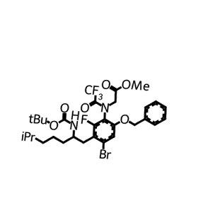 COC(=O)CN(C(=O)C(F)(F)F)c1c(OCc2ccccc2)cc(Br)c(CC(CCCC(C)C)NC(=O)OC(C)(C)C)c1F